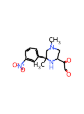 CN1CC(C(=O)C=O)NC(C)(c2cccc([N+](=O)[O-])c2)C1